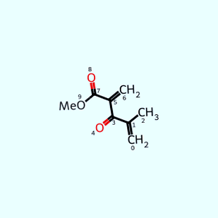 C=C(C)C(=O)C(=C)C(=O)OC